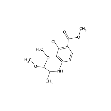 COC(=O)c1ccc(NC(C)C(OC)OC)cc1Cl